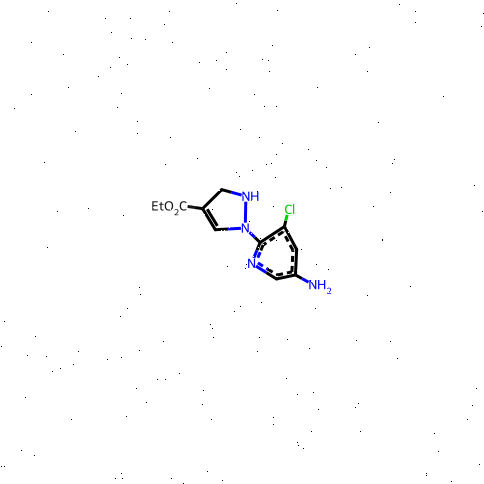 CCOC(=O)C1=CN(c2ncc(N)cc2Cl)NC1